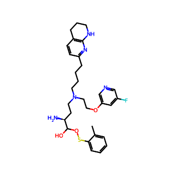 Cc1ccccc1SOC(O)[C@@H](N)CCN(CCCCc1ccc2c(n1)NCCC2)CCOc1cncc(F)c1